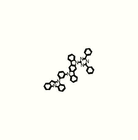 c1ccc(-c2nc(-c3ccccc3)nc(-n3c4ccccc4c4cc5c(cc43)c3ccccc3n5-c3cccc(-n4c5ccccc5n5c6ccccc6cc45)c3)n2)cc1